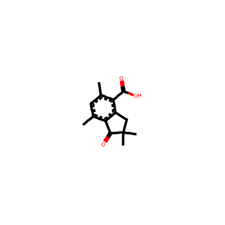 Cc1cc(C)c2c(c1C(=O)O)CC(C)(C)C2=O